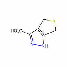 O=C(O)c1n[nH]c2c1CSC2